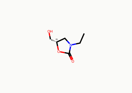 CCN1C[C@@H](CO)OC1=O